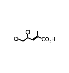 CC(=CC(Cl)CCl)C(=O)O